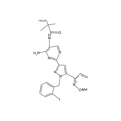 C=C/C(=N\OC)c1cc(-c2ncc(NC(=O)C(C)(C)C=C)c(N)n2)nn1Cc1ccccc1I